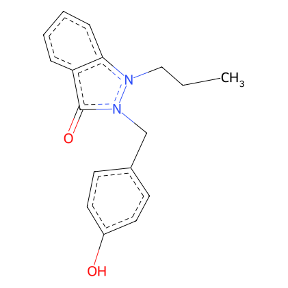 CCCn1c2ccccc2c(=O)n1Cc1ccc(O)cc1